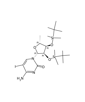 C[C@H]1O[C@@H](n2cc(I)c(N)nc2=O)[C@H](O[Si](C)(C)C(C)(C)C)[C@@H]1O[Si](C)(C)C(C)(C)C